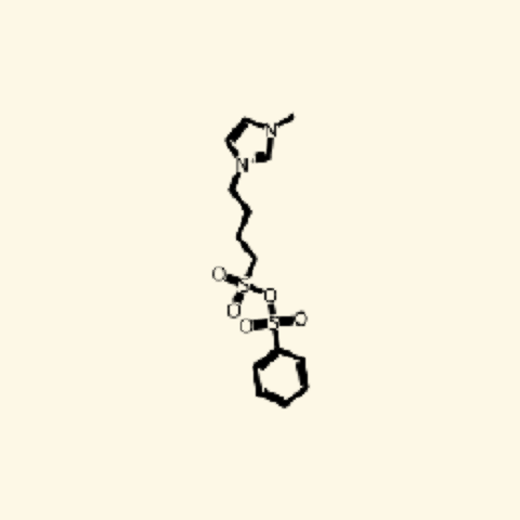 Cn1cc[n+](CCCCS(=O)(=O)OS(=O)(=O)c2ccccc2)c1